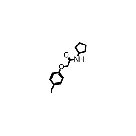 O=C(COc1ccc(I)cc1)NC1CCCC1